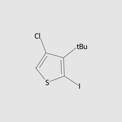 CC(C)(C)c1c(Cl)csc1I